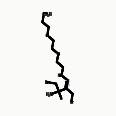 CC(N)(CBr)/C(CBr)=N\NCCOCCOCCC(=O)O